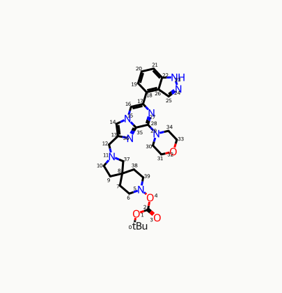 CC(C)(C)OC(=O)ON1CCC2(CCN(Cc3cn4cc(-c5cccc6[nH]ncc56)nc(N5CCOCC5)c4n3)C2)CC1